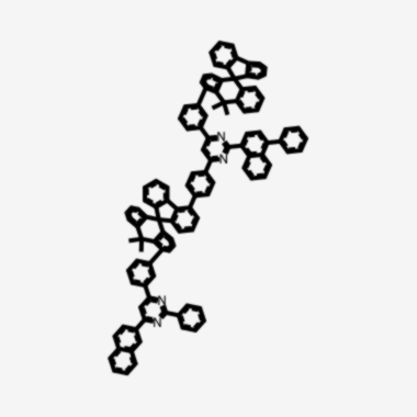 CC1(C)c2ccccc2C2(c3ccccc3-c3ccccc32)c2cccc(-c3cccc(-c4cc(-c5ccc(-c6cccc7c6-c6ccccc6C76c7ccccc7C(C)(C)c7c(-c8cccc(-c9cc(-c%10ccc%11ccccc%11c%10)nc(-c%10ccccc%10)n9)c8)cccc76)cc5)nc(-c5ccc(-c6ccccc6)c6ccccc56)n4)c3)c21